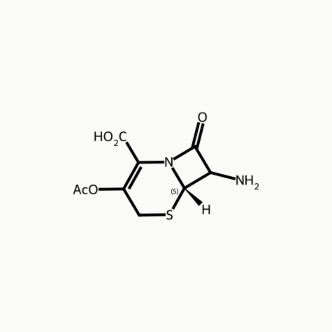 CC(=O)OC1=C(C(=O)O)N2C(=O)C(N)[C@@H]2SC1